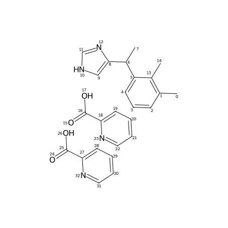 Cc1cccc(C(C)c2c[nH]cn2)c1C.O=C(O)c1ccccn1.O=C(O)c1ccccn1